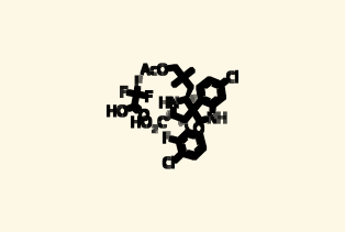 CC(=O)OCC(C)(C)C[C@@H]1N[C@@H](C(=O)O)[C@@H](c2cccc(Cl)c2F)C12C(=O)Nc1cc(Cl)ccc12.O=C(O)C(F)(F)F